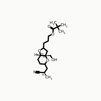 C[C@@H](C#N)CC1CC[C@@H]2OC(CCCOC(=O)C(C)(C)C)C[C@]2(CO)O1